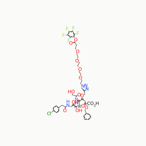 O=C(Cc1ccc(Cl)cc1)NC[C@@H](O)[C@@H](O)[C@@H]1O[C@@](OCc2ccccc2)(C(=O)O)C[C@H](OCc2cn(CCOCCOCCOCCOCCC(=O)Oc3c(F)c(F)c(F)c(F)c3F)nn2)[C@H]1NC(=O)CO